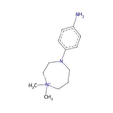 C[N+]1(C)CCCN(c2ccc(N)cc2)CC1